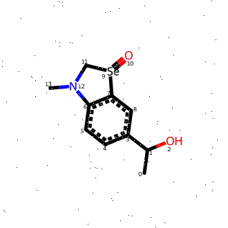 CC(O)c1ccc2c(c1)[Se](=O)CN2C